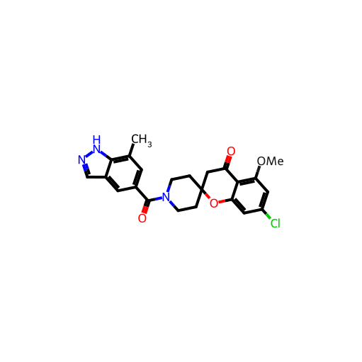 COc1cc(Cl)cc2c1C(=O)CC1(CCN(C(=O)c3cc(C)c4[nH]ncc4c3)CC1)O2